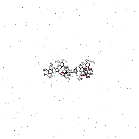 [2H]NC1C(O)C(O)[C@H](CN)O[C@@H]1O[C@@H]1C(O)[C@H](O[C@H]2C(O[C@H]3OC(CN)C(O)[C@H](O)C3N)C(N)C[C@@H](N)C2O)O[C@@H]1Cn1cc(CCCCc2cn(C[C@H]3O[C@@H](O[C@H]4C(O[C@H]5OC(CN)C(O)[C@H](O)C5N)C(N)C[C@@H](N)C4O)C(O)[C@H]3O[C@H]3O[C@@H](CN)C(O)C(O)C3N)nn2)nn1